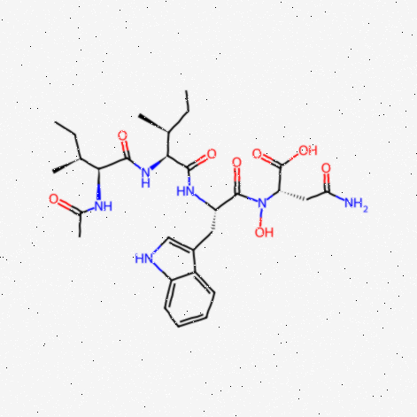 CC[C@H](C)[C@H](NC(C)=O)C(=O)N[C@H](C(=O)N[C@@H](Cc1c[nH]c2ccccc12)C(=O)N(O)[C@@H](CC(N)=O)C(=O)O)[C@@H](C)CC